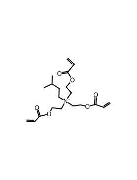 C=CC(=O)OCC[N+](CCOC(=O)C=C)(CCOC(=O)C=C)CCC(C)C